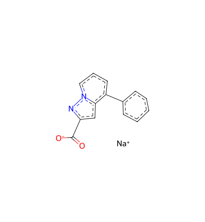 O=C([O-])c1cc2c(-c3ccccc3)cccn2n1.[Na+]